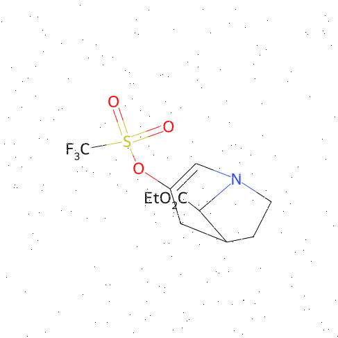 CCOC(=O)C1C2CCN1C=C(OS(=O)(=O)C(F)(F)F)C2